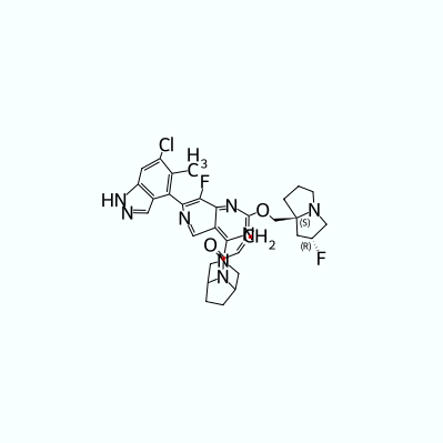 C=CC(=O)N1C2CCC1CN(c1nc(OC[C@@]34CCCN3C[C@H](F)C4)nc3c(F)c(-c4c(C)c(Cl)cc5[nH]ncc45)ncc13)C2